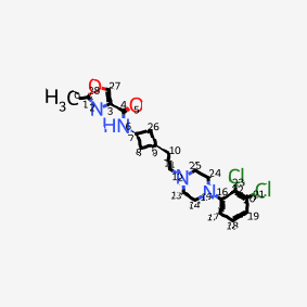 Cc1nc(C(=O)N[C@H]2C[C@H](CCN3CCN(c4cccc(Cl)c4Cl)CC3)C2)co1